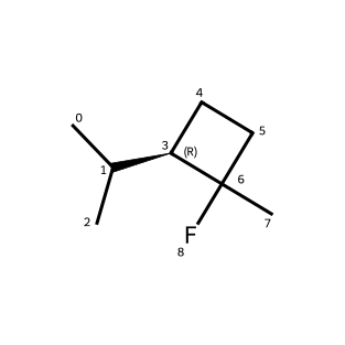 CC(C)[C@H]1CCC1(C)F